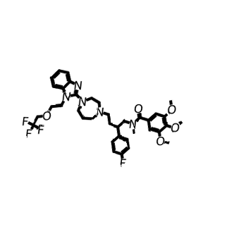 COc1cc(C(=O)N(C)CC(CCN2CCCN(c3nc4ccccc4n3CCOCC(F)(F)F)CC2)c2ccc(F)cc2)cc(OC)c1OC